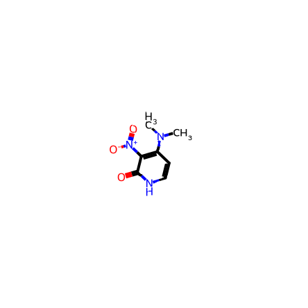 CN(C)c1cc[nH]c(=O)c1[N+](=O)[O-]